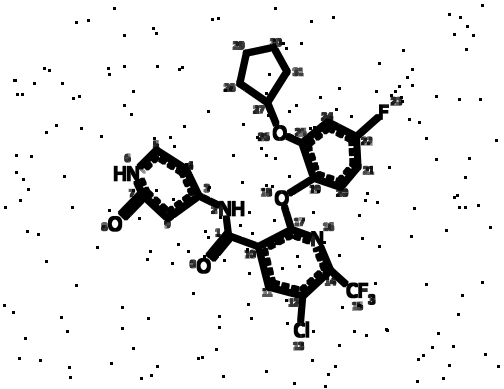 O=C(Nc1cc[nH]c(=O)c1)c1cc(Cl)c(C(F)(F)F)nc1Oc1ccc(F)cc1OC1CCCC1